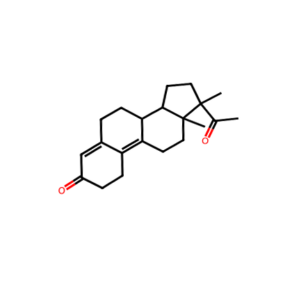 CC(=O)C1(C)CCC2C3CCC4=CC(=O)CCC4=C3CCC21C